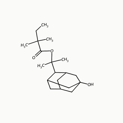 CCC(C)(C)C(=O)OC(C)(C)C1C2CC3CC1CC(O)(C3)C2